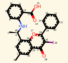 Cc1cc([C@@H](C)Nc2ccccc2C(=O)O)c2oc(-c3ccccc3)c(I)c(=O)c2c1